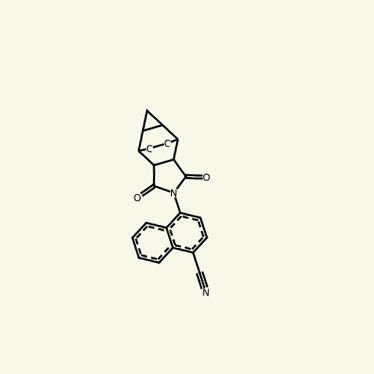 N#Cc1ccc(N2C(=O)C3C4CCC(C5CC54)C3C2=O)c2ccccc12